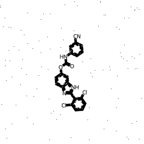 N#Cc1cccc(NC(=O)Oc2ccc3nc(-c4c(Cl)cccc4Cl)[nH]c3c2)c1